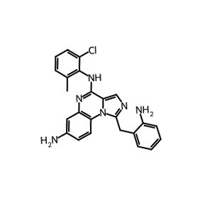 Cc1cccc(Cl)c1Nc1nc2cc(N)ccc2n2c(Cc3ccccc3N)ncc12